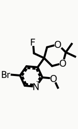 COc1ncc(Br)cc1C1(CF)COC(C)(C)OC1